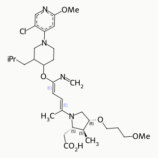 C=N/C(=C\C=C(/C)N1C[C@H](OCCCOC)[C@@H](C)[C@@H]1CC(=O)O)OC1CCN(c2cc(OC)ncc2Cl)CC1CC(C)C